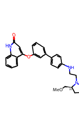 COC[C@@H]1CCCN1CCNc1ccc(-c2cccc(Oc3cc(=O)[nH]c4ccccc34)c2)cc1